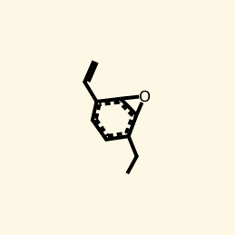 C=Cc1ccc(CC)c2c1O2